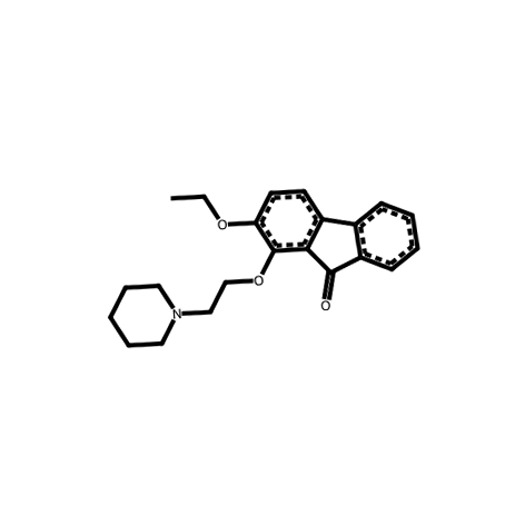 CCOc1ccc2c(c1OCCN1CCCCC1)C(=O)c1ccccc1-2